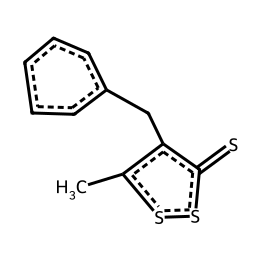 Cc1ssc(=S)c1Cc1ccccc1